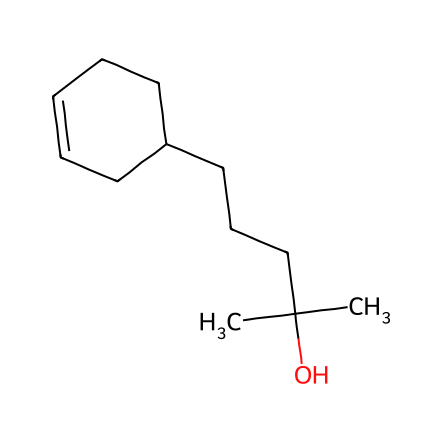 CC(C)(O)CCCC1CC=CCC1